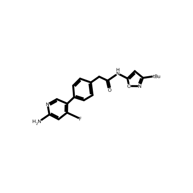 CC(C)(C)c1cc(NC(=O)Cc2ccc(-c3cnc(N)cc3F)cc2)on1